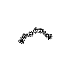 C[C@@H]1CN(c2ccc(OC[C@@H]3CCn4cc([N+](=O)[O-])nc4O3)cc2)C[C@H](C)N1Cc1ccc(OCc2ccc(C(F)(F)F)cc2)cc1